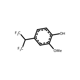 COc1cc(C(C(F)(F)F)C(F)(F)F)ccc1O